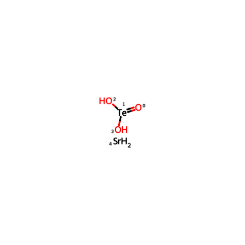 O=[Te](O)O.[SrH2]